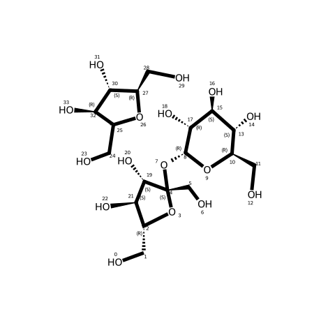 OC[C@H]1O[C@@](CO)(O[C@H]2O[C@H](CO)[C@@H](O)[C@H](O)[C@H]2O)[C@@H](O)[C@@H]1O.OC[C]1O[C@H](CO)[C@@H](O)[C@@H]1O